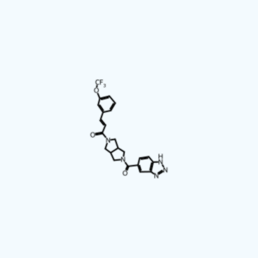 O=C(/C=C/c1cccc(OC(F)(F)F)c1)N1CC2CN(C(=O)c3ccc4[nH]nnc4c3)CC2C1